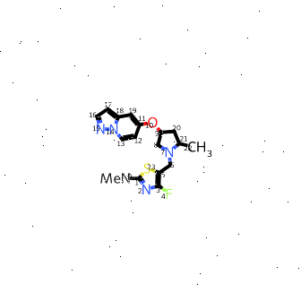 CNc1nc(F)c(CN2CC(Oc3ccn4nccc4c3)CC2C)s1